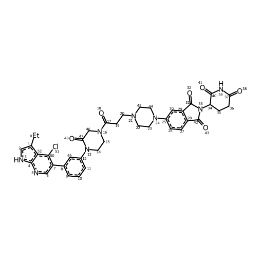 CCc1c[nH]c2ncc(-c3cccc(N4CCN(C(=O)CCN5CCN(c6ccc7c(c6)C(=O)N(C6CCC(=O)NC6=O)C7=O)CC5)CC4=O)c3)c(Cl)c12